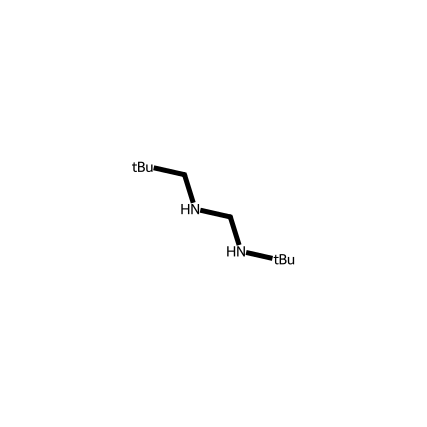 CC(C)(C)CNCNC(C)(C)C